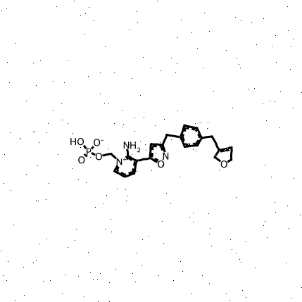 Nc1c(-c2cc(Cc3ccc(CC4=CCOC4)cc3)no2)ccc[n+]1COP(=O)([O-])O